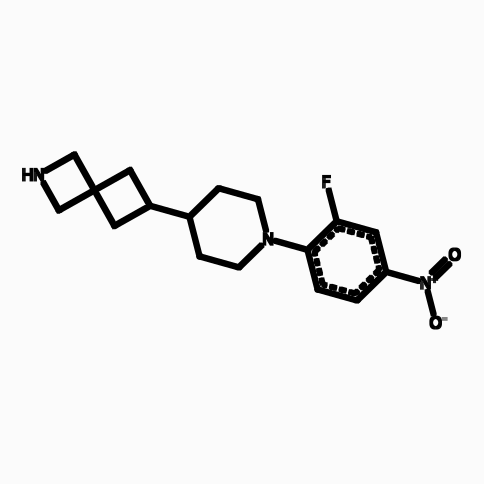 O=[N+]([O-])c1ccc(N2CCC(C3CC4(CNC4)C3)CC2)c(F)c1